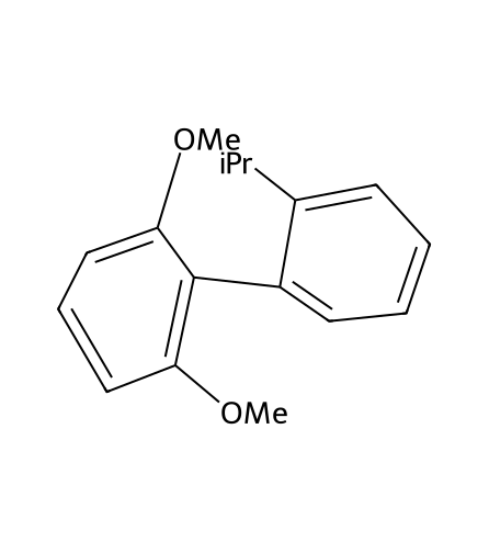 COc1cccc(OC)c1-c1ccccc1C(C)C